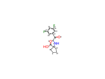 O=C(CNC1(C(=O)O)CCCC1)c1cc(F)cc(F)c1